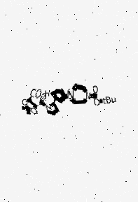 CC(C)(C)OC(=O)N1CCN(c2cccc([C@H]3CCCN3C(=O)[C@@H]3OC(C)(C)O[C@H]3C(=O)O)c2)CC1